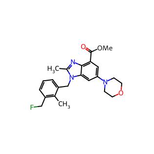 COC(=O)c1cc(N2CCOCC2)cc2c1nc(C)n2Cc1cccc(CF)c1C